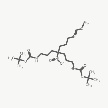 BOC=NCCCC(CCCNC(=O)OC(C)(C)C)(CCCNC(=O)OC(C)(C)C)[N+](=O)[O-]